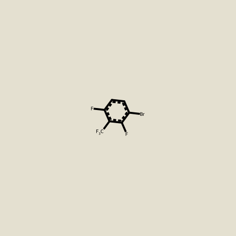 Fc1ccc(Br)c(F)c1C(F)(F)F